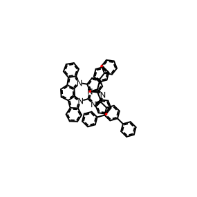 c1ccc(-c2cc(-c3ccccc3)cc(-n3c4ccccc4c4ccc5c6ccccc6n(-c6nc(-c7ccccc7)nc(-c7ccc(-c8ccccc8)cc7-c7ccccc7)n6)c5c43)c2)cc1